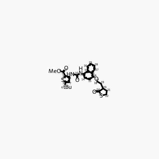 COC(=O)c1sc(C(C)(C)C)cc1NC(=O)Nc1ccc(OCCC2CCSC2=O)c2ccccc12